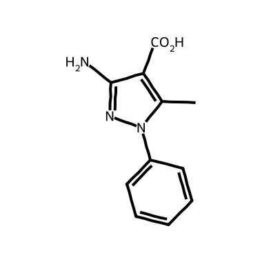 Cc1c(C(=O)O)c(N)nn1-c1ccccc1